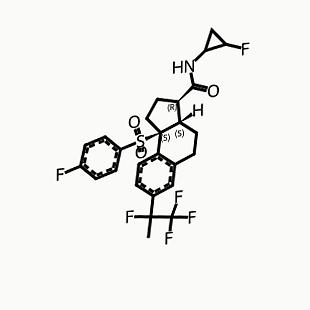 CC(F)(c1ccc2c(c1)CC[C@H]1[C@H](C(=O)NC3CC3F)CC[C@@]21S(=O)(=O)c1ccc(F)cc1)C(F)(F)F